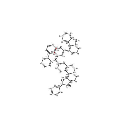 c1ccc(-c2ccccc2N(c2cccc(-c3cccc4sc5ccccc5c34)c2)c2ccc3c(ccc4ccc5c(c43)OC(c3ccccc3)N5)c2)cc1